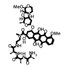 COc1cccc2c1C(=O)c1c(O)c3c(c(O)c1C2=O)C[C@@](O)(C(=O)N(C)CCNC(=O)[C@H](C)NC(=O)[C@H](C)NC(=O)[C@H](C)N)C[C@@H]3O[C@H]1C[C@H]2[C@H](O[C@@H]3[C@@H](OC)OCCN32)[C@H](C)O1